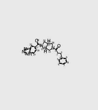 O=C(CCc1ccccc1)N1C[C@@H]2CN(C(=O)c3ccc4[nH]nnc4c3)C[C@H]2C1